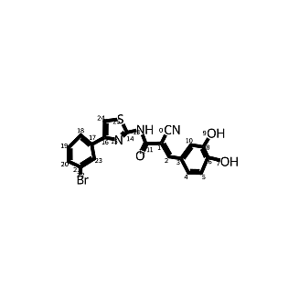 N#C/C(=C\c1ccc(O)c(O)c1)C(=O)Nc1nc(-c2cccc(Br)c2)cs1